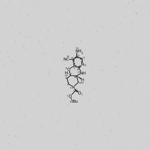 CC(C)(C)OC(=O)N1CC[C@H]2Oc3c(ncc(N)c3C#N)N[C@@H]2C1